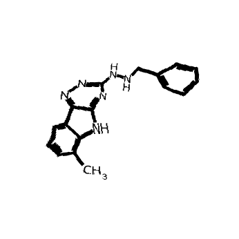 Cc1cccc2c1[nH]c1nc(NNCc3ccccc3)nnc12